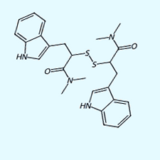 CN(C)C(=O)C(Cc1c[nH]c2ccccc12)SSC(Cc1c[nH]c2ccccc12)C(=O)N(C)C